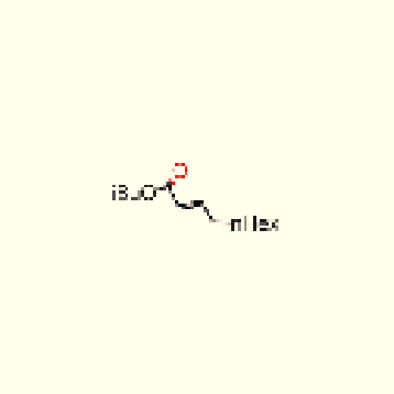 CCCCCCCC=CC(=O)OCC(C)C